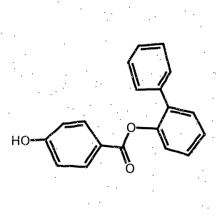 O=C(Oc1ccccc1-c1ccccc1)c1ccc(O)cc1